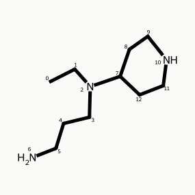 CCN(CCCN)C1CCNCC1